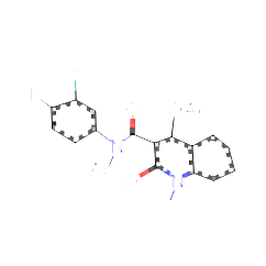 CC(=O)Oc1c(C(=O)N(C(C)=O)c2ccc(F)c(F)c2)c(=O)n(C)c2ccccc12